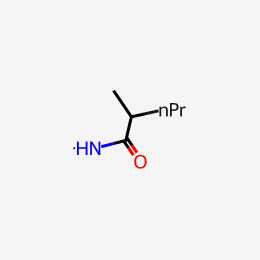 C[CH]CC(C)C([NH])=O